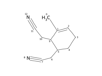 CC1=CCCC(CC#N)C1CC#N